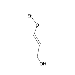 CCOC=CCO